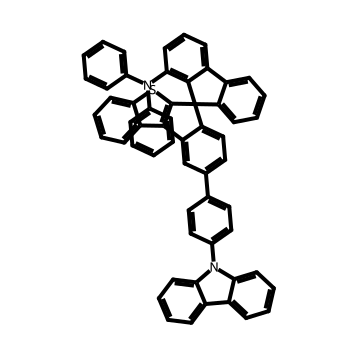 c1ccc(N(c2ccccc2)c2cccc3c2C2(c4ccccc4-3)c3ccc(-c4ccc(-n5c6ccccc6c6ccccc65)cc4)cc3-c3c2sc2ccccc32)cc1